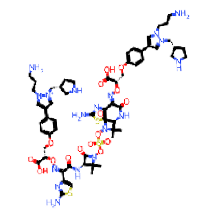 CC1(C)[C@H](NC(=O)/C(=N\O[C@@H](COc2ccc(-c3cn(CCCN)[n+](C[C@@H]4CCNC4)c3)cc2)C(=O)O)c2csc(N)n2)C(=O)N1OS(=O)(=O)ON1C(=O)[C@@H](NC(=O)/C(=N\O[C@@H](COc2ccc(-c3cn(CCCN)[n+](C[C@@H]4CCNC4)c3)cc2)C(=O)O)c2csc(N)n2)C1(C)C